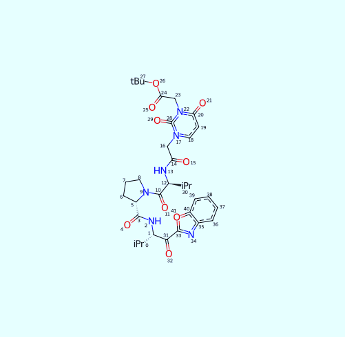 CC(C)[C@H](NC(=O)[C@@H]1CCCN1C(=O)[C@@H](NC(=O)Cn1ccc(=O)n(CC(=O)OC(C)(C)C)c1=O)C(C)C)C(=O)c1nc2ccccc2o1